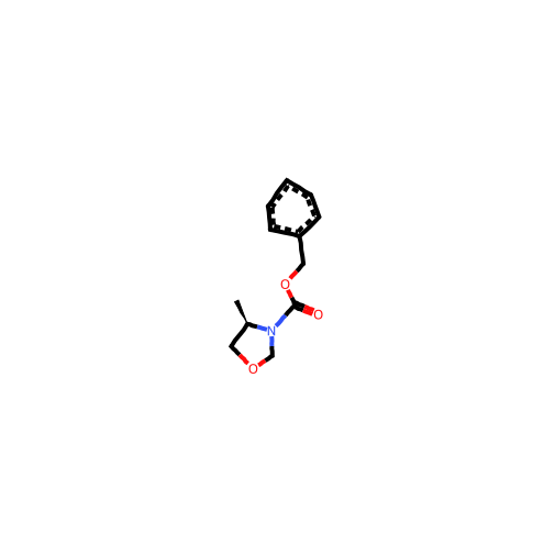 C[C@@H]1COCN1C(=O)OCc1ccccc1